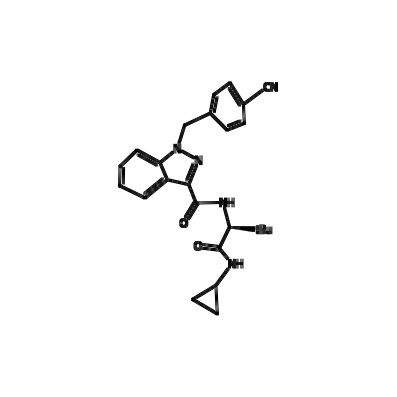 CC(C)(C)[C@H](NC(=O)c1nn(Cc2ccc(C#N)cc2)c2ccccc12)C(=O)NC1CC1